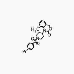 Cc1cccc2c1N(C1CCN(S(=O)(=O)c3ccc(C(C)C)cc3)CC1)C(=O)OC2